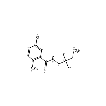 COc1ncc(Cl)cc1C(=O)NCC(C)(C)CC(=O)O